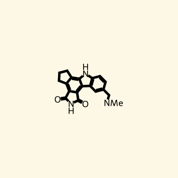 CNCc1ccc2[nH]c3c4c(c5c(c3c2c1)C(=O)NC5=O)CCC4